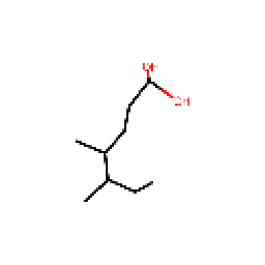 CCC(C)C(C)CCC(O)O